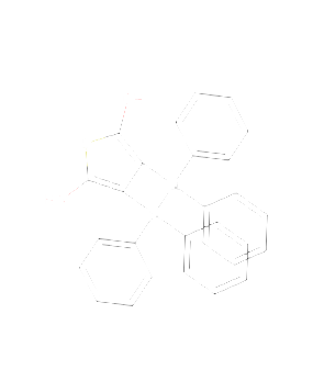 Oc1sc(O)c2c1[Si](c1ccccc1)(c1ccccc1)[Si]2(c1ccccc1)c1ccccc1